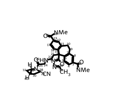 CNC(=O)c1ccc2c(c1)CCc1cc(C(=O)NC)ccc1C2(CCNCC(=O)N1[C@H](C#N)C[C@@H]2C[C@@H]21)c1nnc(C)o1